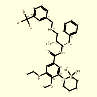 CCNc1cc(C(=O)N[C@@H](Cc2ccccc2)[C@H](O)CNCc2cccc(C(F)(F)F)c2)cc(N2CCCCS2(O)O)c1OC